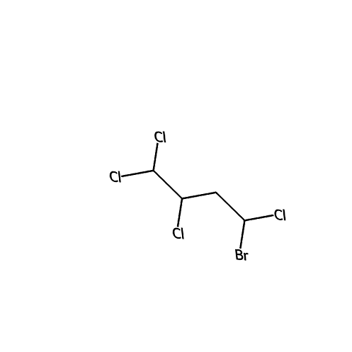 ClC(Br)CC(Cl)C(Cl)Cl